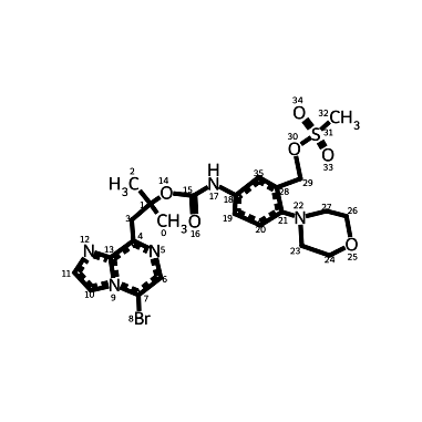 CC(C)(Cc1ncc(Br)n2ccnc12)OC(=O)Nc1ccc(N2CCOCC2)c(COS(C)(=O)=O)c1